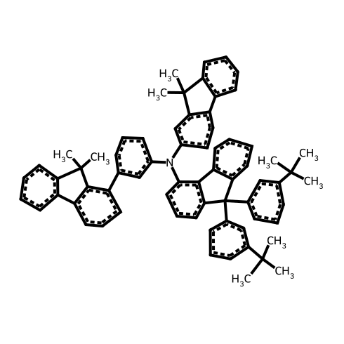 CC(C)(C)c1cccc(C2(c3cccc(C(C)(C)C)c3)c3ccccc3-c3c(N(c4cccc(-c5cccc6c5C(C)(C)c5ccccc5-6)c4)c4ccc5c(c4)C(C)(C)c4ccccc4-5)cccc32)c1